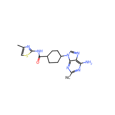 Cc1csc(NC(=O)C2CCC(n3cnc4c(N)nc(C#N)nc43)CC2)n1